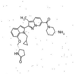 Cc1c(-c2cc3cccc(OC[C@@H]4CCC(=O)N4)c3n2CC2CC2)nn2cc(C(=O)N3CCC[C@@H](N)C3)ccc12